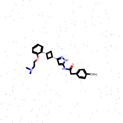 COc1ccc(CC(=O)Nc2cc([C@H]3C[C@@H](c4ccccc4OCCN(C)C)C3)n[nH]2)cc1